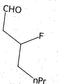 CCCCC(F)CC=O